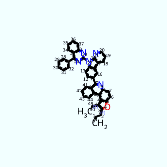 C=C/C=c1/oc2ccc3nc(-c4ccc5c(c4)c4cccnc4n5-c4nc(-c5ccccc5)c5ccccc5n4)c4ccccc4c3c2/c1=C/C